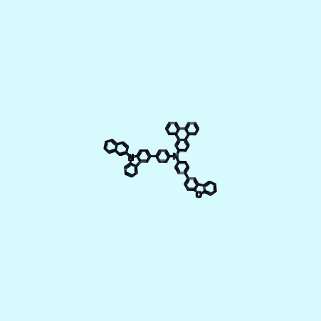 c1ccc2cc(-n3c4ccccc4c4cc(-c5ccc(N(c6ccc(-c7ccc8oc9ccccc9c8c7)cc6)c6ccc7c8ccccc8c8ccccc8c7c6)cc5)ccc43)ccc2c1